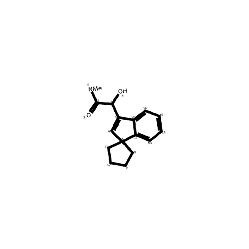 CNC(=O)C(O)C1=CC2(CCCC2)c2ccccc21